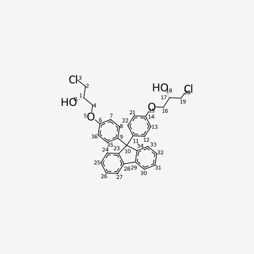 O[C@H](CCl)COc1ccc(C2(c3ccc(OC[C@H](O)CCl)cc3)c3ccccc3-c3ccccc32)cc1